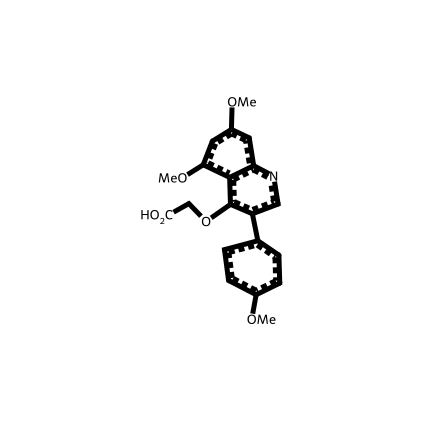 COc1ccc(-c2cnc3cc(OC)cc(OC)c3c2OCC(=O)O)cc1